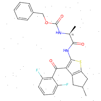 CC1Cc2sc(NC(=O)[C@H](C)NC(=O)OCc3ccccc3)c(C(=O)c3c(F)cccc3F)c2C1